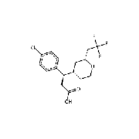 O=C(O)C[C@@H](c1ccc(Cl)cc1)[C@H]1CCO[C@@H](CC(F)(F)F)C1